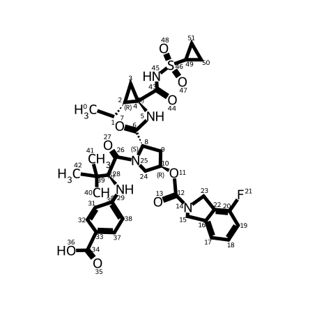 CC[C@@H]1C[C@]1(NC(=O)[C@@H]1C[C@@H](OC(=O)N2Cc3cccc(F)c3C2)CN1C(=O)[C@@H](Nc1ccc(C(=O)O)cc1)C(C)(C)C)C(=O)NS(=O)(=O)C1CC1